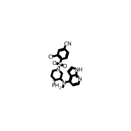 CN(c1ccnc2[nH]ccc12)C1CN(S(=O)(=O)c2ccc(C#N)cc2Cl)CC[C@H]1P